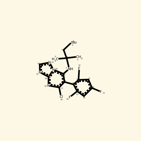 CC(C)(C)CC(C)(C)Nc1c(-c2c(F)cc(F)cc2F)c(Cl)nc2ncnn12